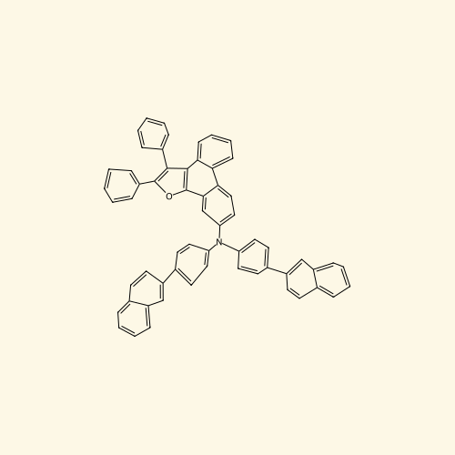 c1ccc(-c2oc3c4cc(N(c5ccc(-c6ccc7ccccc7c6)cc5)c5ccc(-c6ccc7ccccc7c6)cc5)ccc4c4ccccc4c3c2-c2ccccc2)cc1